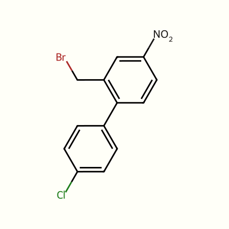 O=[N+]([O-])c1ccc(-c2ccc(Cl)cc2)c(CBr)c1